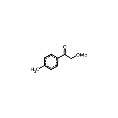 COCC(=O)c1ccc(C)cc1